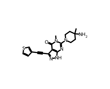 Cn1c(N2CCC(C)(N)CC2)nc2[nH]nc(C#Cc3ccsc3)c2c1=O